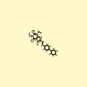 CCn1c(=O)c2c(nc(C=Cc3ccc(-c4ccccc4)cc3)n2C)n(CC)c1=O